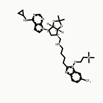 CC1(C)O[C@@H]2[C@@H](CNCCCCc3nc4ccc(C(F)(F)F)cc4n3OCC[Si](C)(C)C)C[C@@H](n3ccc4c(NC5CC5)ncnc43)[C@@H]2O1